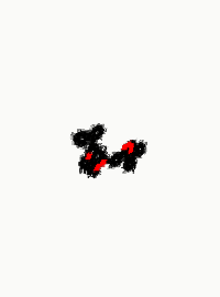 c1cnc2c(c1)C1(c3ccc(-c4ccc5c(c4)c4ccccc4n5-c4ccncc4-n4c5ccccc5c5ccccc54)cc3Oc3cc(-n4c5ccccc5c5ccccc54)ccc31)c1cccnc1-2